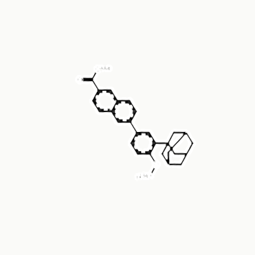 CCCCCCOc1ccc(-c2ccc3cc(C(=O)OC)ccc3c2)cc1C12CC3CC(CC(C3)C1)C2